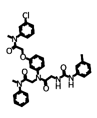 Cc1cccc(NC(=O)NCC(=O)N(CC(=O)N(C)c2ccccc2)c2cccc(OCC(=O)N(C)c3cccc(Cl)c3)c2)c1